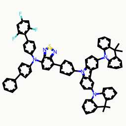 CC1(C)c2ccccc2N(c2ccc3c(c2)c2cc(N4c5ccccc5C(C)(C)c5ccccc54)ccc2n3-c2ccc(-c3ccc(N(c4ccc(-c5ccccc5)cc4)c4ccc(-c5c(F)cc(F)cc5F)cc4)c4nsnc34)cc2)c2ccccc21